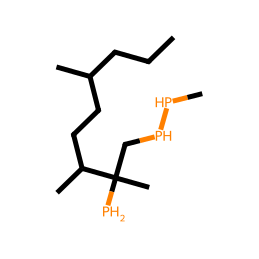 CCCC(C)CCC(C)C(C)(P)CPPC